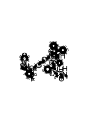 CNC(=O)OC(C)C(=O)NC(C(=O)N1CCC[C@H]1C(=O)NC(C(=O)NCCOCCOCCOc1c(-c2csc(N3CCOCC3)n2)ccc(F)c1F)C(c1ccccc1)c1ccccc1)C1CCCCC1